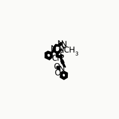 Cc1nnc2n1-c1sc(C#CCn3c(=O)oc4ccccc43)cc1C(c1ccccc1Cl)=NC2